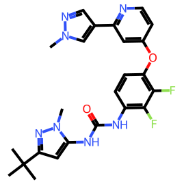 Cn1cc(-c2cc(Oc3ccc(NC(=O)Nc4cc(C(C)(C)C)nn4C)c(F)c3F)ccn2)cn1